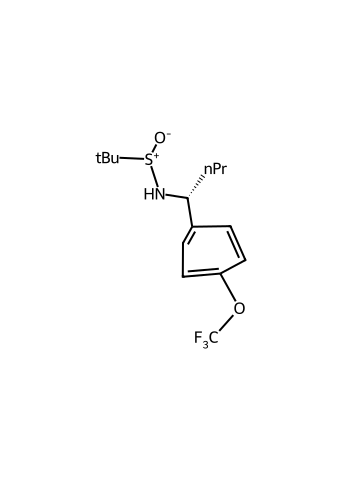 CCC[C@@H](N[S+]([O-])C(C)(C)C)c1ccc(OC(F)(F)F)cc1